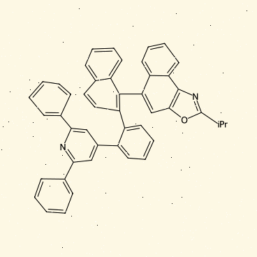 CC(C)c1nc2c(cc(-c3c(-c4ccccc4-c4cc(-c5ccccc5)nc(-c5ccccc5)c4)ccc4ccccc34)c3ccccc32)o1